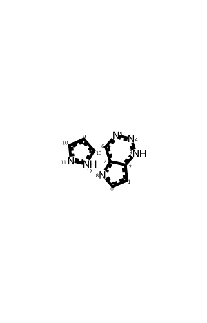 c1cc2[nH]nncc-2n1.c1cn[nH]c1